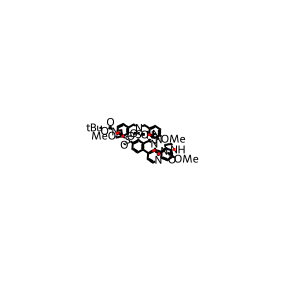 COc1ccc(CN(Cc2ccc(OC)cc2)S(=O)(=O)c2c(S(=O)(=O)C3CN(C(=O)OC(C)(C)C)C3)ccc(-c3ccnc(N4CCNC4=O)c3)c2-c2nnnn2Cc2ccc(OC)cc2)cc1